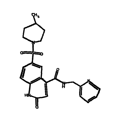 CC1CCN(S(=O)(=O)c2ccc3[nH]c(=O)cc(C(=O)NCc4ccccn4)c3c2)CC1